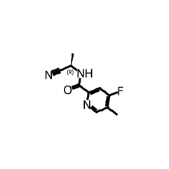 Cc1cnc(C(=O)N[C@H](C)C#N)cc1F